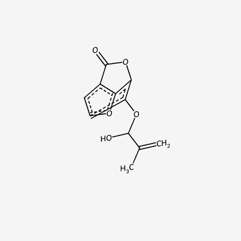 C=C(C)C(O)Oc1c2c3oc1cc3C(=O)O2